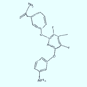 Cc1c(F)c(Oc2cccc(N)c2)nc(Oc2cccc(C(N)=O)c2)c1F